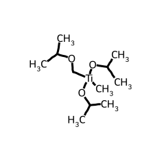 CC(C)O[CH2][Ti]([CH3])([O]C(C)C)[O]C(C)C